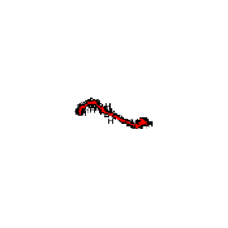 CC(=N)N1C(=N)[C@H](CC(=O)Nc2ccc(OCCOCCOCCOCCOCCOCCOCCOCC(=O)NCCNC(=O)CCNC(=O)c3nc(NC(=O)CCNC(=O)c4cc(NC(=O)c5nc(NC(=O)CCNC(=O)c6cc(NC(=O)c7nccn7C)cn6C)cn5C)cn4C)cn3C)cc2)N=C(c2ccc(Cl)cc2)c2c1sc(C)c2C